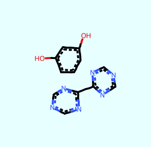 Oc1cccc(O)c1.c1ncnc(-c2ncncn2)n1